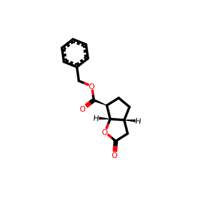 O=C1C[C@H]2CC[C@H](C(=O)OCc3ccccc3)[C@H]2O1